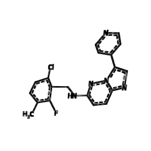 Cc1ccc(Cl)c(CNc2ccc3ncc(-c4ccncc4)n3n2)c1F